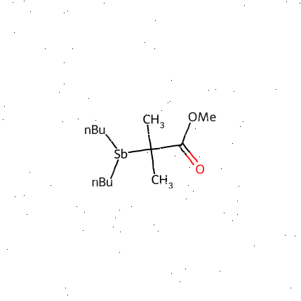 CCC[CH2][Sb]([CH2]CCC)[C](C)(C)C(=O)OC